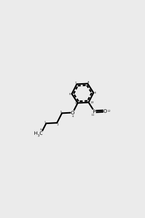 CCCCOc1ccccc1P=O